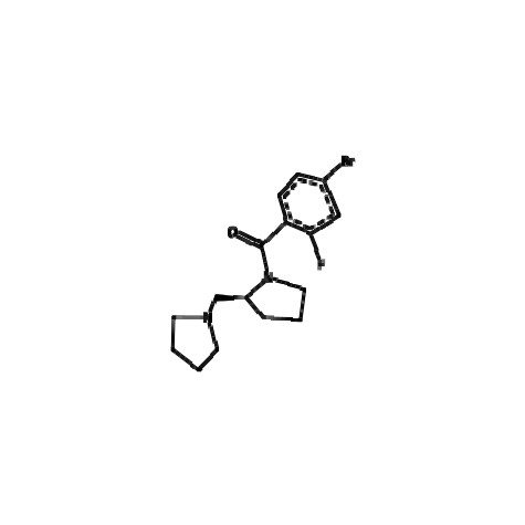 O=C(c1ccc(Br)cc1F)N1CCC[C@H]1CN1CCCC1